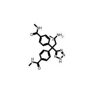 CNC(=O)c1ccc(C(C[C@@H](C)N)(c2ccc(C(=O)NC)cc2)c2nn[nH]n2)cc1